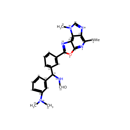 CNc1nc2oc(-c3cccc(C(NC=O)c4cccc(N(C)C)c4)c3)nc2c2c1ncn2C